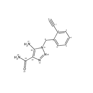 C#Cc1ccccc1Cn1nnc(C(N)=O)c1N